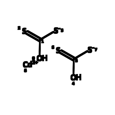 OC(=S)[S-].OC(=S)[S-].[Cd+2]